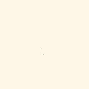 CC(C)(C)c1ccc(-n2cc(CCO)cn2)s1